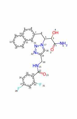 NC(=O)C(O)C(Cc1ccc2ccccc2c1)n1cc(CNC(=O)c2ccc(F)cc2F)nn1